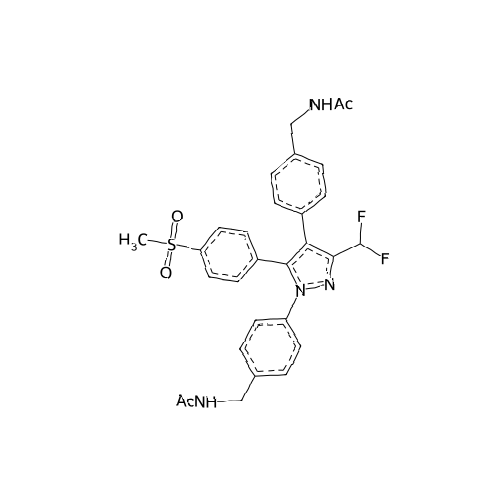 CC(=O)NCc1ccc(-c2c(C(F)F)nn(-c3ccc(CNC(C)=O)cc3)c2-c2ccc(S(C)(=O)=O)cc2)cc1